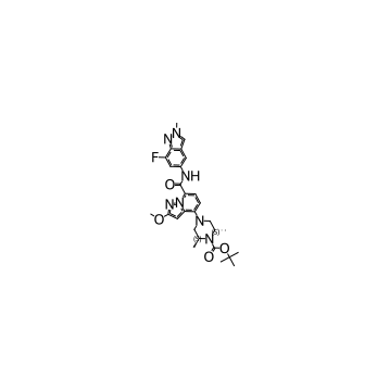 COc1cc2c(N3C[C@H](C)N(C(=O)OC(C)(C)C)[C@@H](C)C3)ccc(C(=O)Nc3cc(F)c4nn(C)cc4c3)n2n1